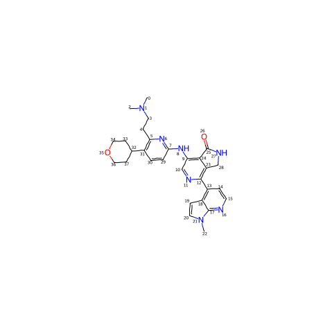 CN(C)CCc1nc(Nc2cnc(-c3ccnc4c3ccn4C)c3c2C(=O)NC3)ccc1C1CCOCC1